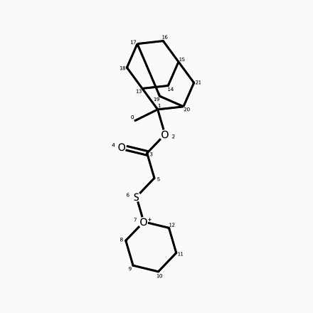 CC1(OC(=O)CS[O+]2CCCCC2)C2CC3CC(C2)CC1C3